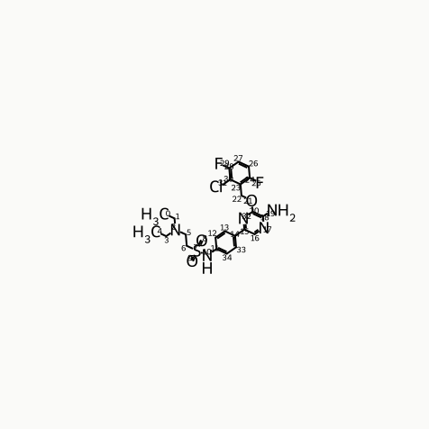 CCN(CC)CCS(=O)(=O)Nc1ccc(-c2cnc(N)c(OCc3c(F)ccc(F)c3Cl)n2)cc1